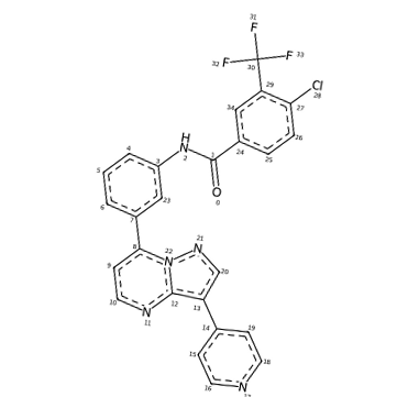 O=C(Nc1cccc(-c2ccnc3c(-c4ccncc4)cnn23)c1)c1ccc(Cl)c(C(F)(F)F)c1